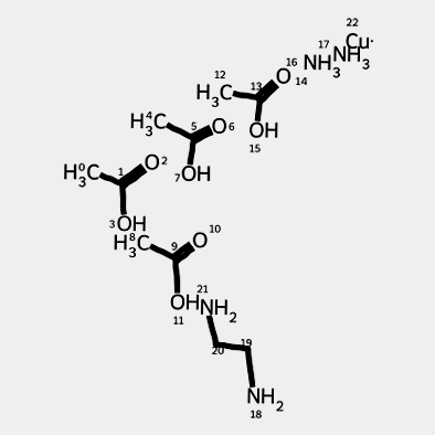 CC(=O)O.CC(=O)O.CC(=O)O.CC(=O)O.N.N.NCCN.[Cu]